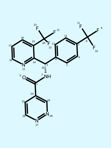 O=C(N[C@@H](c1ccc(C(F)(F)F)cc1)c1ncccc1C(F)(F)F)c1ccnnc1